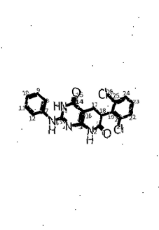 O=C1Nc2nc(Nc3ccccc3)[nH]c(=O)c2CC1c1c(Cl)cccc1Cl